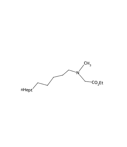 CCCCCCCCCCCCN(C)CC(=O)OCC